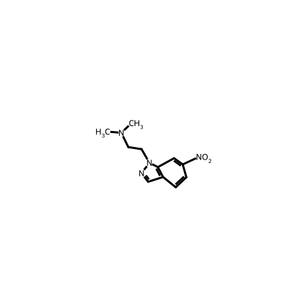 CN(C)CCn1ncc2ccc([N+](=O)[O-])cc21